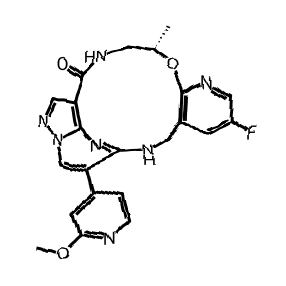 COc1cc(-c2cn3ncc4c3nc2NCc2cc(F)cnc2O[C@@H](C)CNC4=O)ccn1